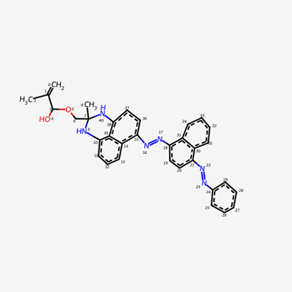 C=C(C)C(O)OCC1(C)Nc2cccc3c(N=Nc4ccc(N=Nc5ccccc5)c5ccccc45)ccc(c23)N1